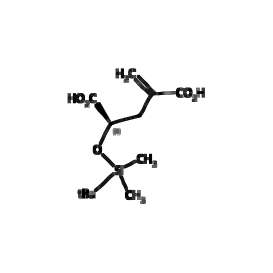 C=C(C[C@@H](O[Si](C)(C)C(C)(C)C)C(=O)O)C(=O)O